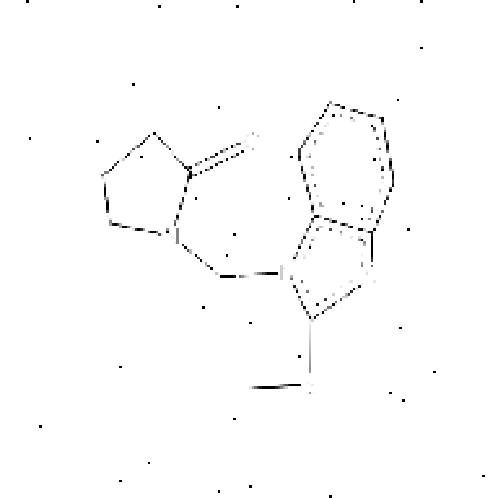 CSc1nc2ccccc2n1CN1CCCC1=O